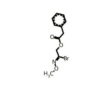 CON=C(Br)COC(=O)Cc1ccccc1